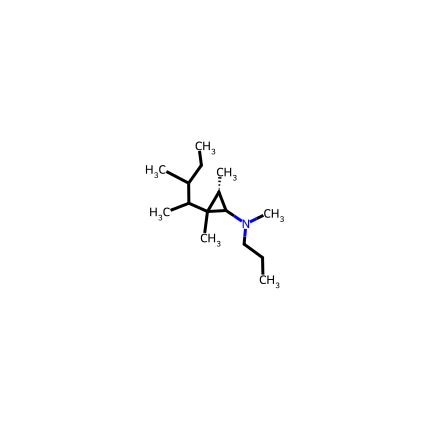 CCCN(C)C1[C@@H](C)C1(C)C(C)C(C)CC